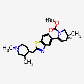 CC1CN(C)CCC1Cc1nc2cc(C3=CC[C@H](C)CN3C(=O)OC(C)(C)C)ccc2s1